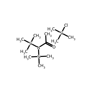 CC(=O)N([Si](C)(C)C)[Si](C)(C)C.C[Si](C)(C)Cl